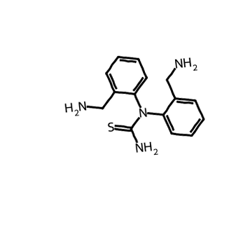 NCc1ccccc1N(C(N)=S)c1ccccc1CN